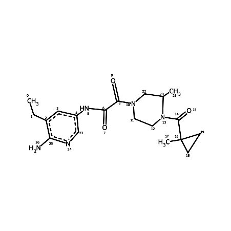 CCc1cc(NC(=O)C(=O)N2CCN(C(=O)C3(C)CC3)C(C)C2)cnc1N